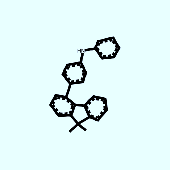 CC1(C)c2ccccc2-c2c(-c3ccc(Nc4ccccc4)cc3)cccc21